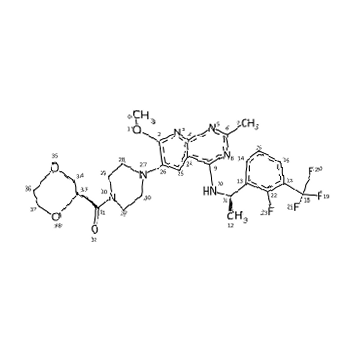 COc1nc2nc(C)nc(N[C@H](C)c3cccc(C(F)(F)F)c3F)c2cc1N1CCN(C(=O)[C@@H]2COCCO2)CC1